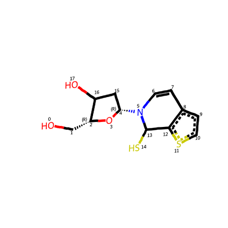 OC[C@H]1O[C@@H](N2C=Cc3ccsc3C2S)CC1O